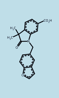 CC1(C)C(=O)N(Cc2ccc3occc3c2)c2cc(C(=O)O)ccc21